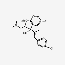 COc1ccc(F)cc1C(O)(/C(C)=C/c1ccc(Cl)cc1)C(C)CN(C)C